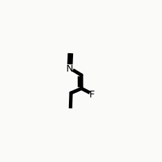 C=N/C=C(/F)CC